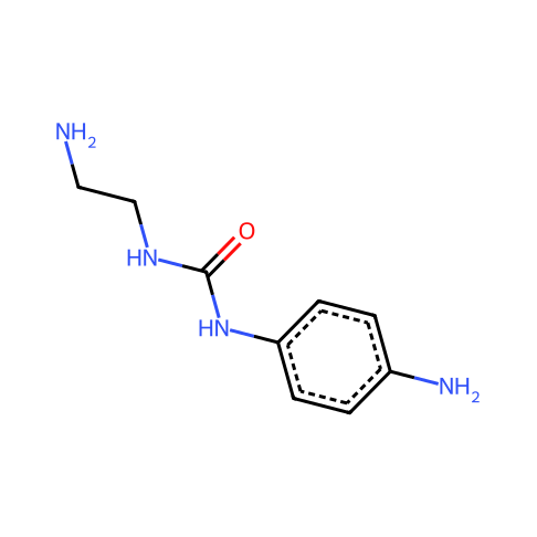 NCCNC(=O)Nc1ccc(N)cc1